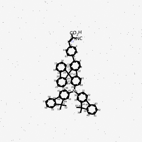 [C-]#[N+]/C(=C\c1ccc(-c2ccc3c(c2)C2(c4ccccc4-c4ccccc42)c2cc(N(c4ccc5c(c4)C(C)(C)c4ccccc4-5)c4ccc5c(c4)C(C)(C)c4ccccc4-5)ccc2-3)cc1)C(=O)O